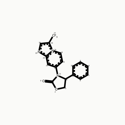 O=C1OCC(c2ccccc2)N1c1ccn2c(C(F)(F)F)cnc2c1